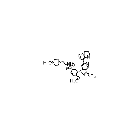 COc1ccc(S(=O)(=O)NCCN2CCN(C)CC2)cc1-n1nc(C)c2cnc(-c3cnn4cccnc34)cc21